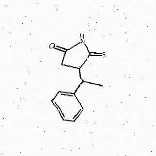 CC(c1ccccc1)C1CC(=O)NC1=S